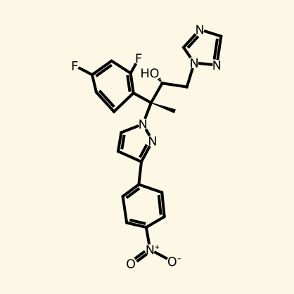 C[C@@](c1ccc(F)cc1F)([C@H](O)Cn1cncn1)n1ccc(-c2ccc([N+](=O)[O-])cc2)n1